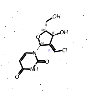 O=c1ccn([C@@H]2O[C@H](CO)[C@@H](O)/C2=C\Cl)c(=O)[nH]1